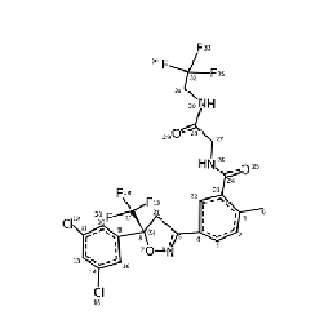 Cc1ccc(C2=NO[C@@](c3cc(Cl)cc(Cl)c3)(C(F)(F)F)C2)cc1C(=O)NCC(=O)NCC(F)(F)F